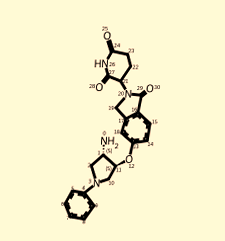 N[C@H]1CN(c2ccccc2)C[C@@H]1Oc1ccc2c(c1)CN(C1CCC(=O)NC1=O)C2=O